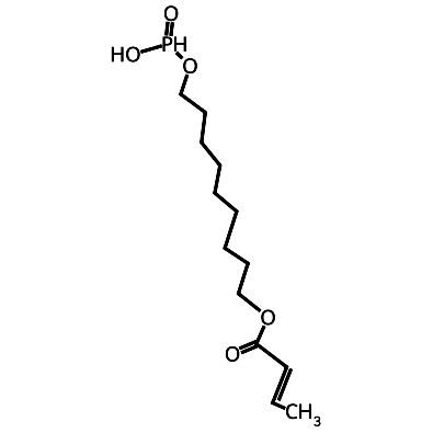 CC=CC(=O)OCCCCCCCCCO[PH](=O)O